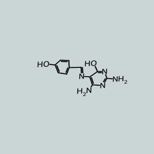 Nc1nc(N)c(/N=C/c2ccc(O)cc2)c(O)n1